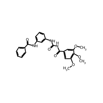 COc1cc(C(=O)NC(=O)Nc2cccc(NC(=O)c3ccccc3)c2)cc(OC)c1OC